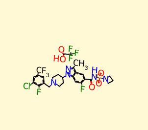 Cc1nn(C2CCN(Cc3cc(C(F)(F)F)cc(Cl)c3F)CC2)c2cc(F)c(C(=O)NS(=O)(=O)N3CCC3)cc12.O=C(O)C(F)(F)F